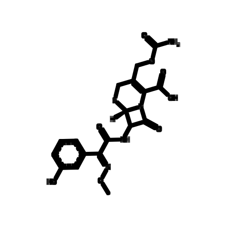 CON=C(C(=O)NC1C(=O)N2C(C(=O)O)=C(COC(N)=O)CS[C@@H]12)c1cccc(O)c1